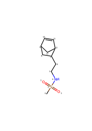 CS(=O)(=O)NCCC1CC2C=CC1C2